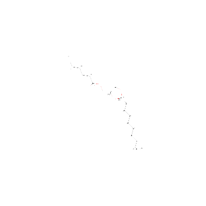 CCCCCCCCCCCCCCCCC[C@@H]1OC[C@@H](COC(O)CCCCC=O)O1